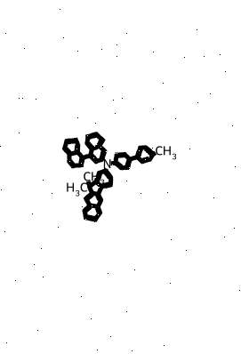 Cc1ccc(-c2ccc(N(c3ccc4c(c3)C(C)(C)c3cc5ccccc5cc3-4)c3cc(-c4cccc5ccccc45)c4ccccc4c3)cc2)cc1